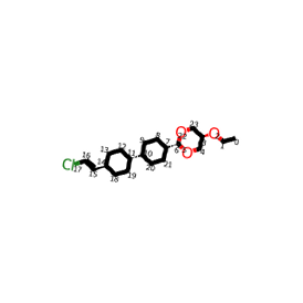 CCO[C@H]1CO[C@H](C2CCC([C@H]3CC[C@H](/C=C/Cl)CC3)CC2)OC1